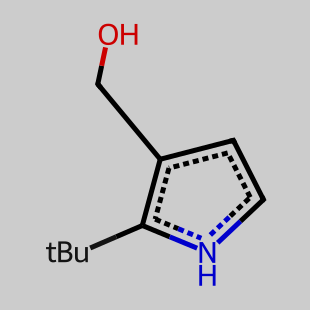 CC(C)(C)c1[nH]ccc1CO